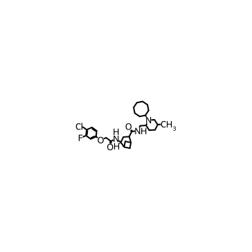 CC1CCC(CNC(=O)C2C[C@H](NC(=O)COc3ccc(Cl)c(F)c3)C3CC2C3)N(C2CCCCCCC2)C1